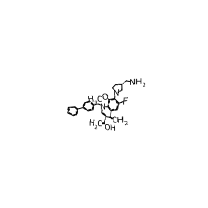 C=C(O)C1=CN(Cc2ccc(-c3ccccc3)cc2)c2c(cc(F)c(N3CC[C@@H](CN)C3)c2OC)C1=C